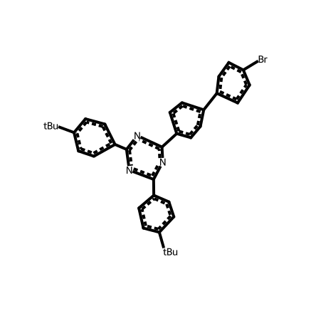 CC(C)(C)c1ccc(-c2nc(-c3ccc(-c4ccc(Br)cc4)cc3)nc(-c3ccc(C(C)(C)C)cc3)n2)cc1